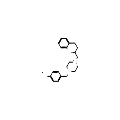 COc1ccc(CN2CCN(CC3CCc4ccccc4O3)CC2)cc1